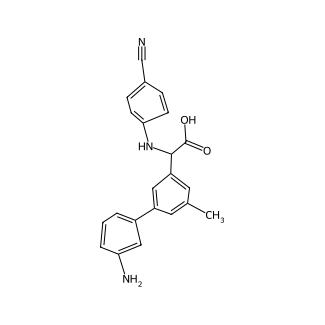 Cc1cc(-c2cccc(N)c2)cc(C(Nc2ccc(C#N)cc2)C(=O)O)c1